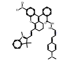 CCN(CC)c1ccc2c(c1)OC1=C(/C=C/C3=[N+](C)c4ccccc4C3(C)C)CCCC1=C2c1ccccc1C(=O)NN/C=C\C=C1C=CC(N(C)C)C=C1